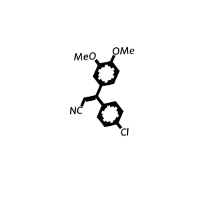 COc1ccc(C(=CC#N)c2ccc(Cl)cc2)cc1OC